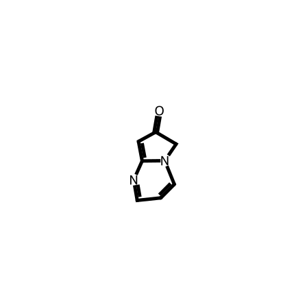 O=C1C=C2N=CC=CN2C1